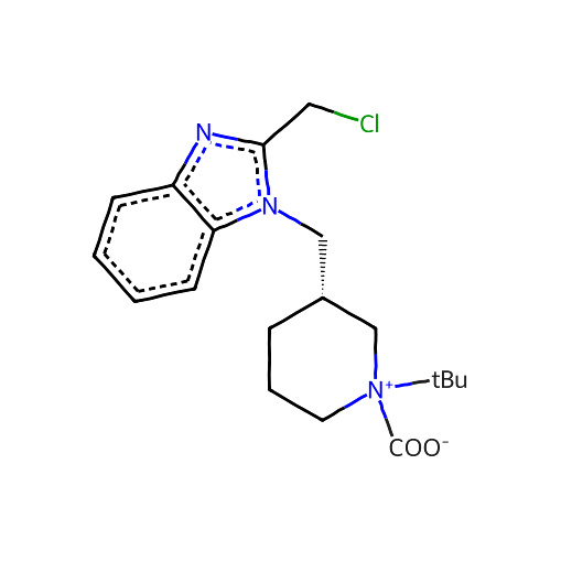 CC(C)(C)[N+]1(C(=O)[O-])CCC[C@H](Cn2c(CCl)nc3ccccc32)C1